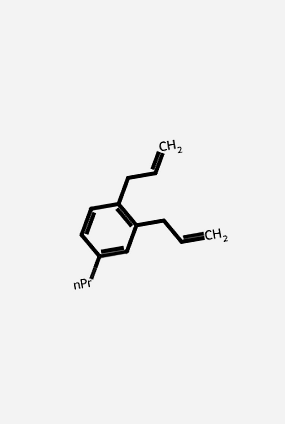 [CH2]CCc1ccc(CC=C)c(CC=C)c1